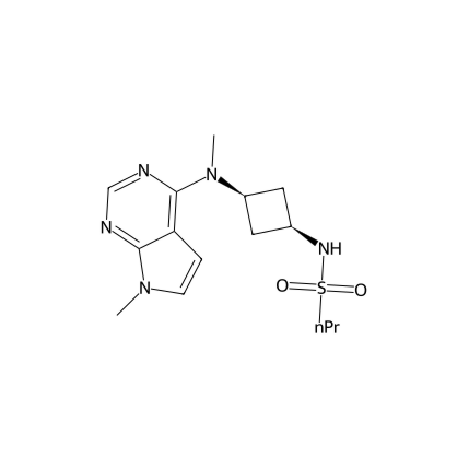 CCCS(=O)(=O)N[C@H]1C[C@@H](N(C)c2ncnc3c2ccn3C)C1